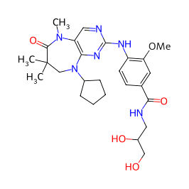 COc1cc(C(=O)NCC(O)CO)ccc1Nc1ncc2c(n1)N(C1CCCC1)CC(C)(C)C(=O)N2C